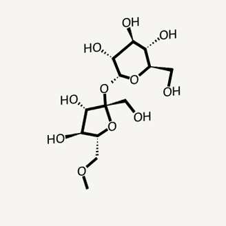 COC[C@H]1O[C@@](CO)(O[C@H]2O[C@H](CO)[C@@H](O)[C@H](O)[C@H]2O)[C@@H](O)[C@@H]1O